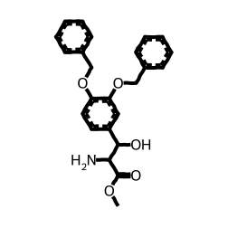 COC(=O)C(N)C(O)c1ccc(OCc2ccccc2)c(OCc2ccccc2)c1